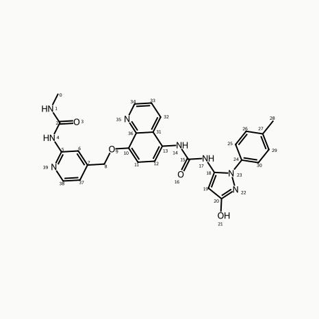 CNC(=O)Nc1cc(COc2ccc(NC(=O)Nc3cc(O)nn3-c3ccc(C)cc3)c3cccnc23)ccn1